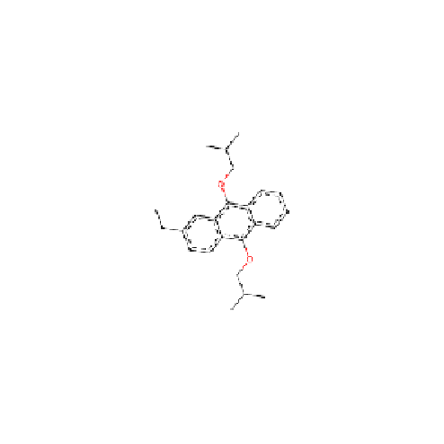 CCc1ccc2c(OCC(C)C)c3ccccc3c(OCC(C)C)c2c1